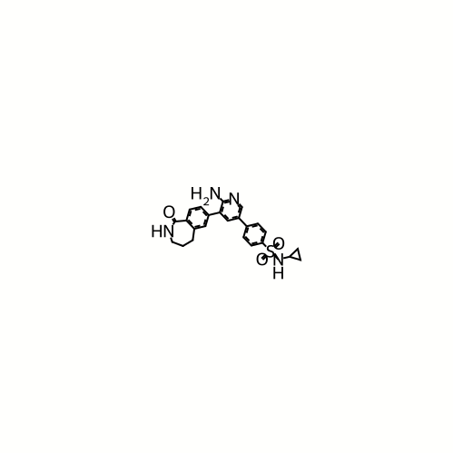 Nc1ncc(-c2ccc(S(=O)(=O)NC3CC3)cc2)cc1-c1ccc2c(c1)CCCNC2=O